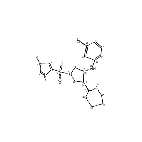 Cn1cnc(S(=O)(=O)N2C[C@H](Nc3cccc(Cl)c3)[C@@H](C3OCCCO3)C2)c1